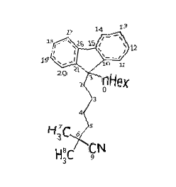 CCCCCCC1(CCCCC(C)(C)C#N)c2ccccc2-c2ccccc21